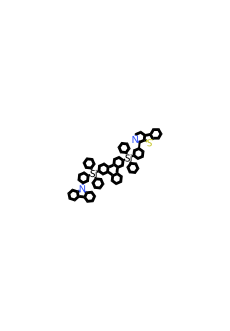 c1ccc([Si](c2ccccc2)(c2cccc(-c3nccc4c3sc3ccccc34)c2)c2ccc3c4ccc([Si](c5ccccc5)(c5ccccc5)c5cccc(-n6c7ccccc7c7ccccc76)c5)cc4c4ccccc4c3c2)cc1